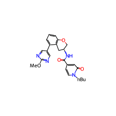 CCCCn1ccc(C(=O)N[C@@H]2COc3cccc(-c4cnc(OC)nc4)c3C2)cc1=O